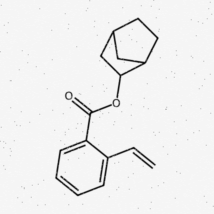 C=Cc1ccccc1C(=O)OC1CC2CCC1C2